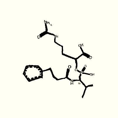 CC(C)[C@@H](NC(=O)CCc1ccccc1)P(=O)(O)OC(CCCNC(N)=O)C(=O)O